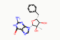 C[C@@]1(O)[C@H](O)[C@@H](Cc2cc[c]cc2)O[C@H]1n1cnc2c(=O)[nH]c(N)nc21